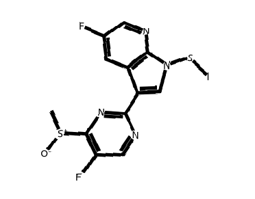 C[S+]([O-])c1nc(-c2cn(SI)c3ncc(F)cc23)ncc1F